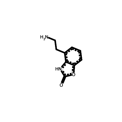 NCCc1cccc2oc(=O)[nH]c12